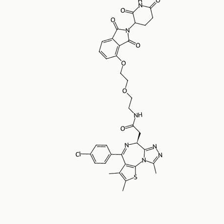 Cc1sc2c(c1C)C(c1ccc(Cl)cc1)=N[C@@H](CC(=O)NCCOCCOc1cccc3c1C(=O)N(C1CCC(=O)NC1=O)C3=O)c1nnc(C)n1-2